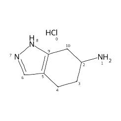 Cl.NC1CCc2cn[nH]c2C1